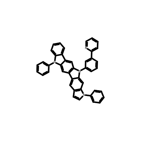 c1ccc(-n2ccc3cc4c5cc6c(cc5n(-c5cccc(-c7ccccn7)c5)c4cc32)c2ccccc2n6-c2ccccc2)cc1